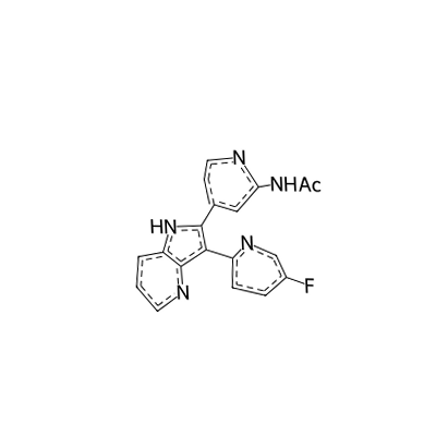 CC(=O)Nc1cc(-c2[nH]c3cccnc3c2-c2ccc(F)cn2)ccn1